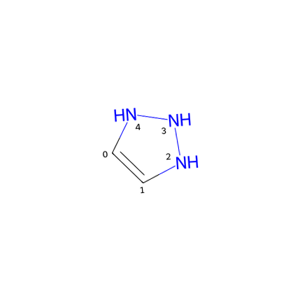 C1=CNNN1